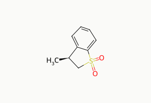 C[C@@H]1CS(=O)(=O)c2ccccc21